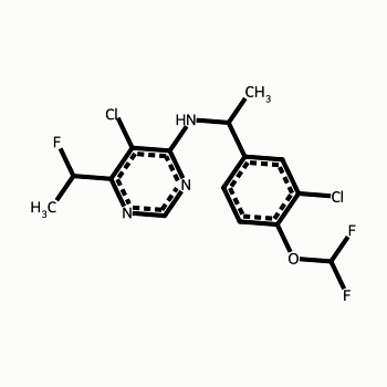 CC(F)c1ncnc(NC(C)c2ccc(OC(F)F)c(Cl)c2)c1Cl